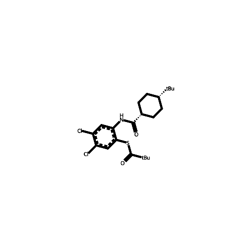 CC(C)(C)C(=O)Sc1cc(Cl)c(Cl)cc1NC(=O)[C@H]1CC[C@@H](C(C)(C)C)CC1